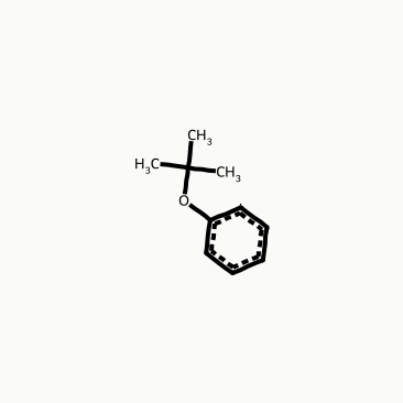 CC(C)(C)Oc1[c]cccc1